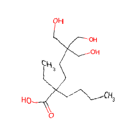 CCCCC(CC)(CCC(CO)(CO)CO)C(=O)O